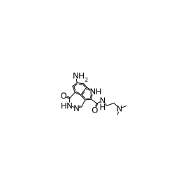 CN(C)CCNC(=O)c1[nH]c2cc(N)cc3c2c1C=NNC3=O